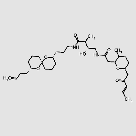 C=CCC[C@@H]1CCC[C@]2(CCC[C@@H](CCCNC(=O)[C@@H](C)[C@@H](O)CNC(=O)CC3O[C@H](CC(=O)/C=C/C)CCC3C)O2)O1